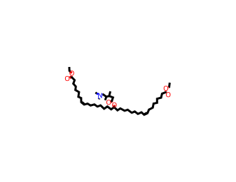 CCOC(=O)CCCCCCC/C=C\CCCCCCCCC(CCCCCCCC/C=C\CCCCCCCC(=O)OCC)OC(=O)CC(C)C(C)CN(C)C